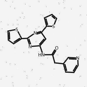 O=C(Cc1cccnc1)Nc1cc(-c2cccs2)nc(-c2cccs2)n1